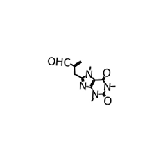 C=C(C=O)Cc1nc2c(c(=O)n(C)c(=O)n2C)n1C